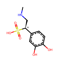 CNC[C@@H](c1ccc(O)c(O)c1)S(=O)(=O)O